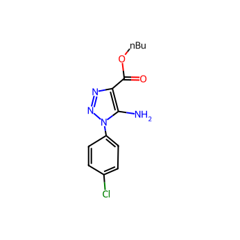 CCCCOC(=O)c1nnn(-c2ccc(Cl)cc2)c1N